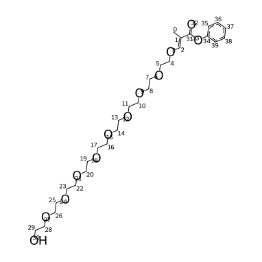 CC(=COCCOCCOCCOCCOCCOCCOCCOCCOCCO)C(=O)Oc1ccccc1